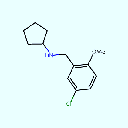 COc1ccc(Cl)cc1CNC1CCCC1